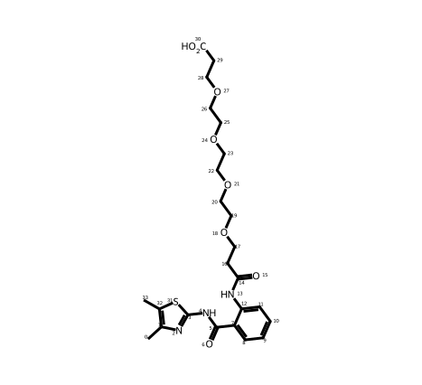 Cc1nc(NC(=O)c2ccccc2NC(=O)CCOCCOCCOCCOCCC(=O)O)sc1C